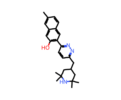 Cc1ccc2cc(-c3ccc(CC4CC(C)(C)NC(C)(C)C4)nn3)c(O)cc2c1